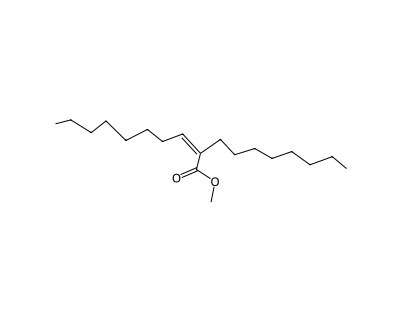 CCCCCCCC=C(CCCCCCCC)C(=O)OC